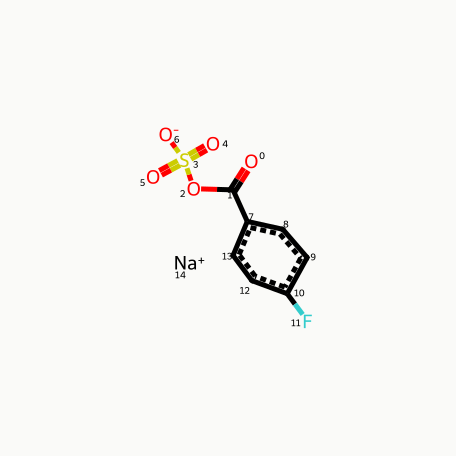 O=C(OS(=O)(=O)[O-])c1ccc(F)cc1.[Na+]